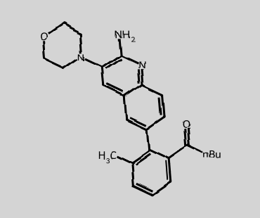 CCCCC(=O)c1cccc(C)c1-c1ccc2nc(N)c(N3CCOCC3)cc2c1